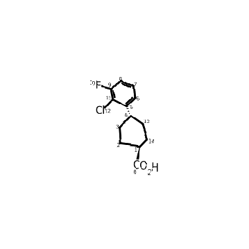 O=C(O)[C@H]1CC[C@H](c2cccc(F)c2Cl)CC1